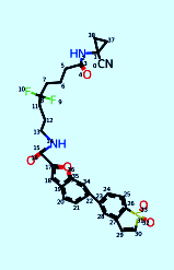 N#CC1(NC(=O)CCCC(F)(F)CCCNC(=O)c2cc3ccc(-c4ccc5c(c4)C=CS5(=O)=O)cc3o2)CC1